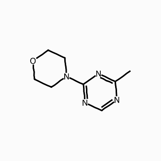 Cc1ncnc(N2CCOCC2)n1